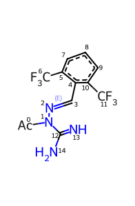 CC(=O)N(/N=C/c1c(C(F)(F)F)cccc1C(F)(F)F)C(=N)N